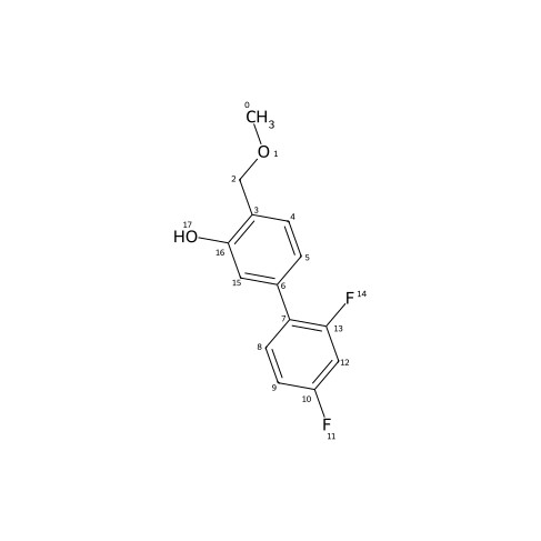 COCc1ccc(-c2ccc(F)cc2F)cc1O